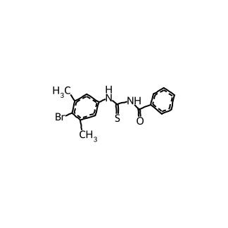 Cc1cc(NC(=S)NC(=O)c2ccccc2)cc(C)c1Br